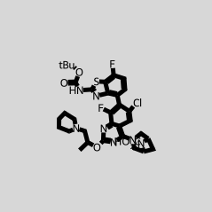 CC(CN1CCCCC1)Oc1nc(N2CC3CC(C2)N3C(=O)O)c2cc(Cl)c(-c3ccc(F)c4sc(NC(=O)OC(C)(C)C)nc34)c(F)c2n1